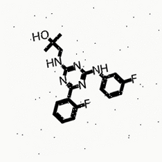 CC(C)(O)CNc1nc(Nc2cccc(F)c2)nc(-c2ccccc2F)n1